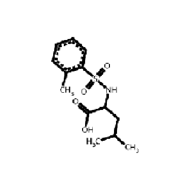 Cc1ccccc1S(=O)(=O)NC(CC(C)C)C(=O)O